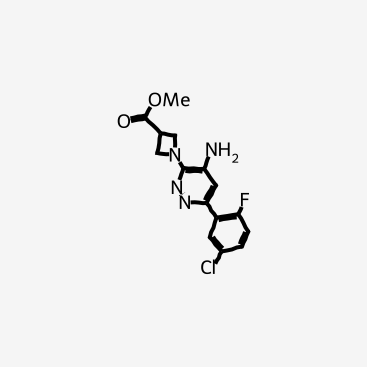 COC(=O)C1CN(c2nnc(-c3cc(Cl)ccc3F)cc2N)C1